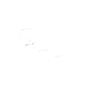 CSCCC12OCC(CO1)OC2=O